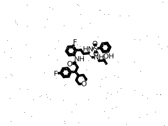 CC(O)CNC[C@H](CCc1c(F)cccc1NC(=O)CC(c1ccc(F)cc1)C1CCOCC1)NS(=O)(=O)c1ccccc1